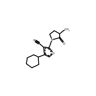 CC1CCN(c2occ(C3CCCCC3)c2C#N)C1=O